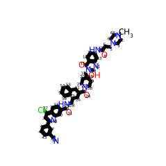 CN1CCN(CCC(=O)Nc2ccc3c(=O)n(CC4(O)CCN(C(=O)C(CCCNC(=O)c5ccc6c(Cl)cc(-c7cccc(C#N)c7)nc6c5)Cc5ccccc5)CC4)cnc3c2)CC1